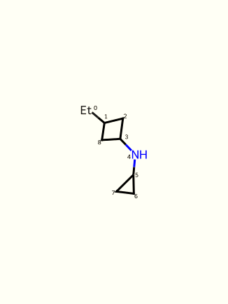 CCC1CC(NC2CC2)C1